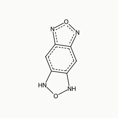 c1c2c(cc3nonc13)NON2